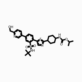 CC(C)OC(=O)NC1CCC(c2ncc(-c3ccc(-c4ccc(CO)nc4)cc3S(=O)(=O)NC(C)(C)C)s2)CC1